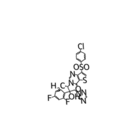 C[C@@H](n1cnc2c(S(=O)(=O)c3ccc(Cl)cc3)csc2c1=O)[C@](O)(Cn1cncn1)c1ccc(F)cc1F